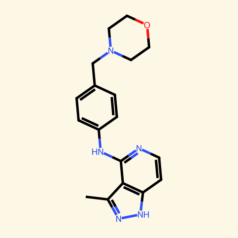 Cc1n[nH]c2ccnc(Nc3ccc(CN4CCOCC4)cc3)c12